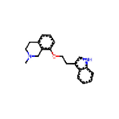 CN1CCc2cccc(OCCc3c[nH]c4ccccc34)c2C1